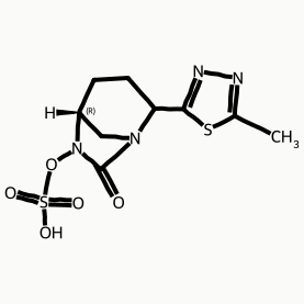 Cc1nnc(C2CC[C@@H]3CN2C(=O)N3OS(=O)(=O)O)s1